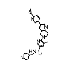 Cc1cc(C(=O)NCc2ccncc2)cnc1N1CCc2ncc(-c3ccc(C4CC4)nc3)cc2C1